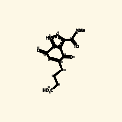 CNC(=O)c1n[nH]c2c1C(=O)C(SCCC(=O)O)=CC2=O